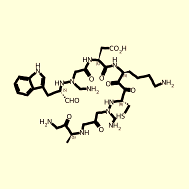 C[C@H](NCC(=O)CN(CN)N[C@@H](CS)C(=O)C(=O)[C@H](CCCCN)NC(=O)[C@H](CC(=O)O)NC(=O)CN(CN)N[C@H](C=O)Cc1c[nH]c2ccccc12)C(=O)CN